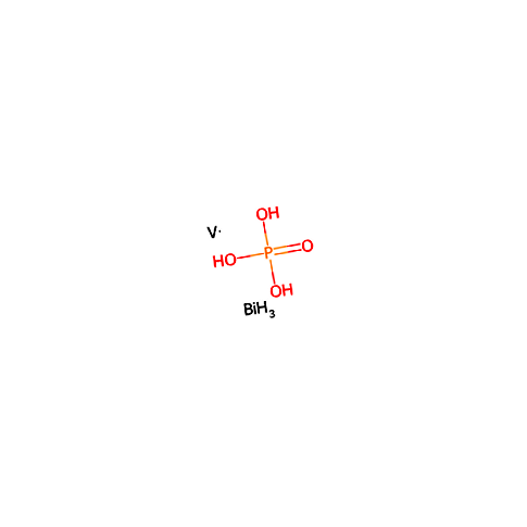 O=P(O)(O)O.[BiH3].[V]